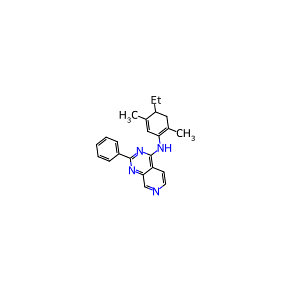 CCC1CC(C)=C(Nc2nc(-c3ccccc3)nc3cnccc23)C=C1C